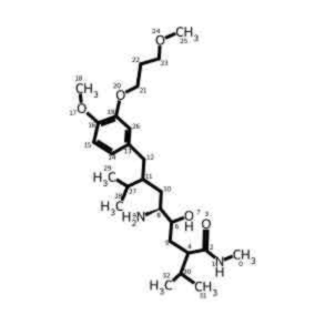 CNC(=O)C(CC(O)[C@@H](N)CC(Cc1ccc(OC)c(OCCCOC)c1)C(C)C)C(C)C